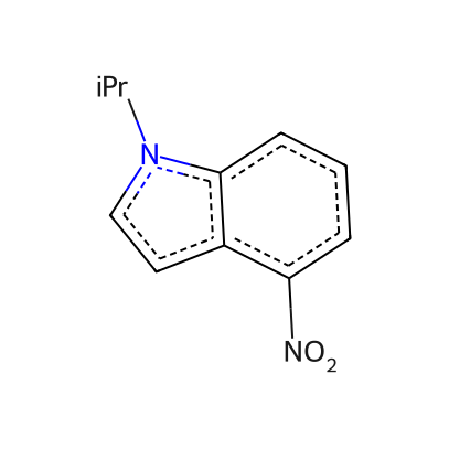 CC(C)n1ccc2c([N+](=O)[O-])cccc21